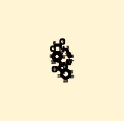 C#CCN1C(=O)COc2ccc(C3=[N+]([O-])C4=C(CCCC4)C3=O)cc21